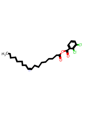 CCCCCCCC/C=C\CCCCCCCC(=O)OC(=O)c1cccc(Cl)c1Cl